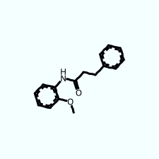 COc1ccccc1NC(=O)CCc1ccccc1